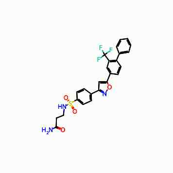 NC(=O)CCNS(=O)(=O)c1ccc(-c2cc(-c3ccc(-c4ccccc4)c(C(F)(F)F)c3)on2)cc1